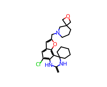 C=C1Nc2c(Cl)cc3cc(CN4CCCC5(COC5)C4)oc3c2C2(CCCCC2)N1